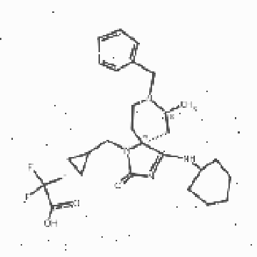 C[C@H]1C[C@]2(CCN1Cc1ccccc1)C(NC1CCCCC1)=NC(=O)N2CC1CC1.O=C(O)C(F)(F)F